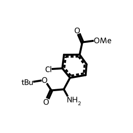 COC(=O)c1ccc(C(N)C(=O)OC(C)(C)C)c(Cl)c1